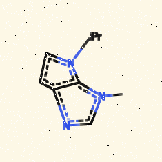 CC(C)n1ccc2ncn(C)c21